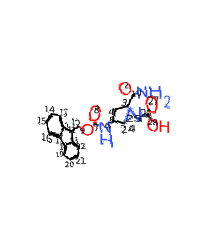 NC(=O)C1CC(NC(=O)OCC2c3ccccc3-c3ccccc32)CN1C(=O)O